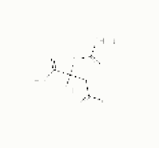 CC(=O)SC(O)(CC(=O)O)C(=O)O.[NaH]